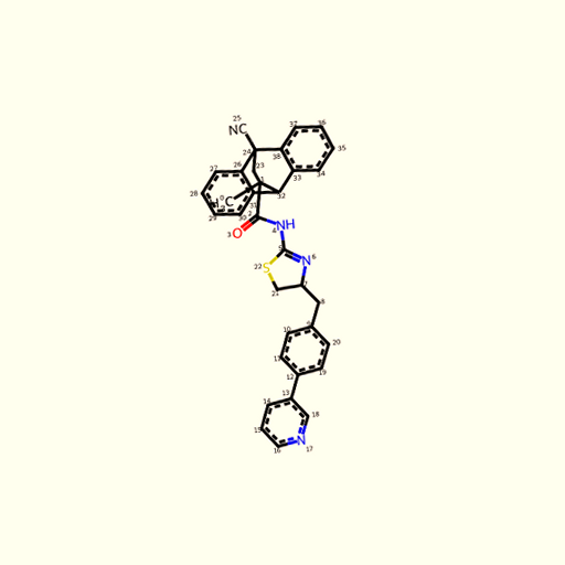 CC1(C(=O)NC2=NC(Cc3ccc(-c4cccnc4)cc3)CS2)CC2(C#N)c3ccccc3C1c1ccccc12